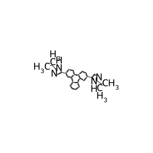 CC(C)c1ncc(-c2ccc3c4ccc(-c5cnc(C(C)C)[nH]5)cc4c4ccccc4c3c2)[nH]1